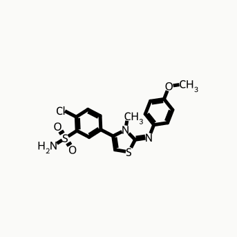 COc1ccc(N=c2scc(-c3ccc(Cl)c(S(N)(=O)=O)c3)n2C)cc1